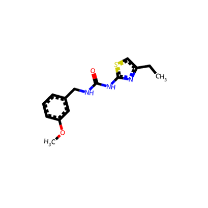 CCc1csc(NC(=O)NCc2cccc(OC)c2)n1